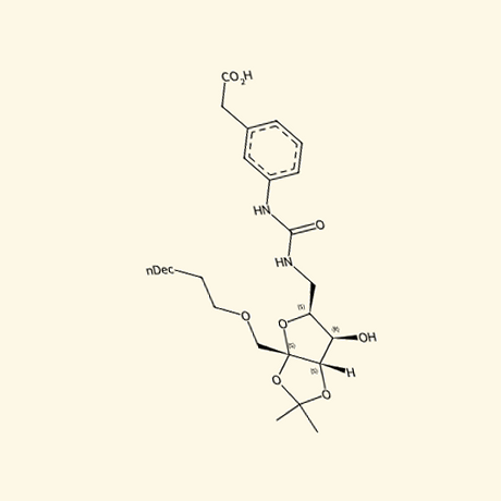 CCCCCCCCCCCCOC[C@@]12O[C@@H](CNC(=O)Nc3cccc(CC(=O)O)c3)[C@@H](O)[C@@H]1OC(C)(C)O2